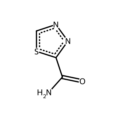 NC(=O)c1nncs1